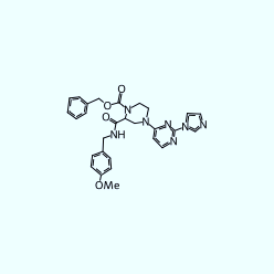 COc1ccc(CNC(=O)C2CN(c3ccnc(-n4ccnc4)n3)CCN2C(=O)OCc2ccccc2)cc1